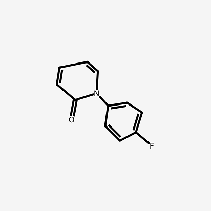 O=c1ccccn1-c1ccc(F)cc1